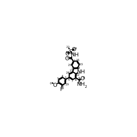 COc1ccc(-c2cc(C(N)=O)c3[nH]c4ccc(C(=O)NS(C)(=O)=O)cc4c3c2)cc1F